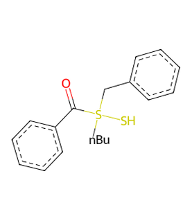 CCCCS(S)(Cc1ccccc1)C(=O)c1ccccc1